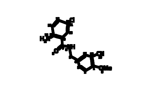 COc1ccc(CNC(=O)c2cc(Cl)ccc2N)cc1C#N